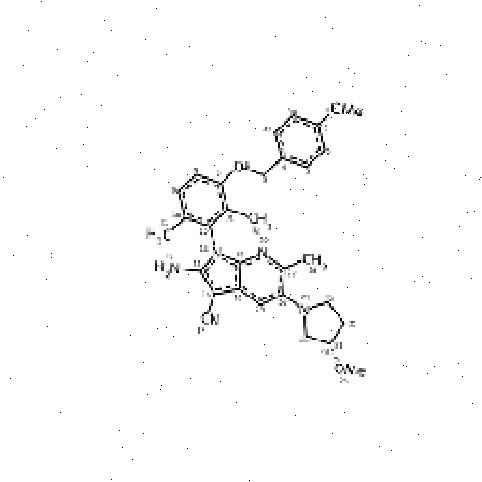 COc1ccc(COc2ccc(C)c(-n3c(N)c(C#N)c4cc(N5CC[C@H](OC)C5)c(C)nc43)c2C)cc1